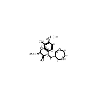 COC(C)C(=O)NC[C@@H]1CNCCO[C@H]1c1ccc(Cl)c(F)c1.Cl